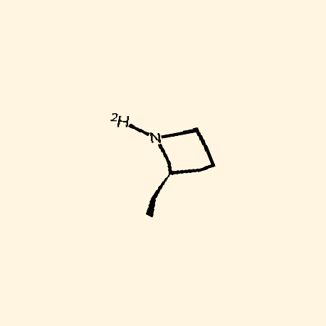 [2H]N1CC[C@H]1C